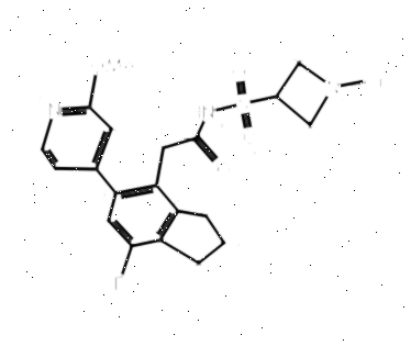 COc1cc(-c2cc(F)c3c(c2CC(=O)NS(=O)(=O)C2CN(C(C)C)C2)CCC3)ccn1